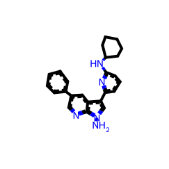 Nn1cc(-c2cccc(NC3CCCCC3)n2)c2cc(-c3ccccc3)cnc21